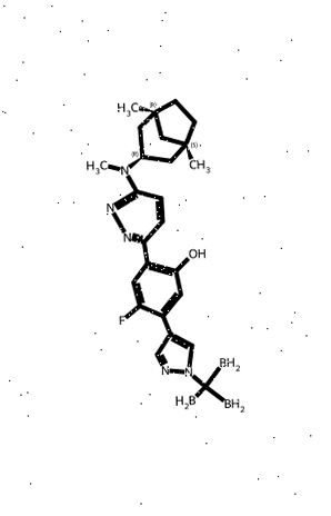 BC(B)(B)n1cc(-c2cc(O)c(-c3ccc(N(C)[C@H]4C[C@]5(C)CC[C@](C)(C4)C5)nn3)cc2F)cn1